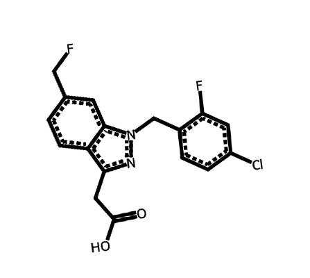 O=C(O)Cc1nn(Cc2ccc(Cl)cc2F)c2cc(CF)ccc12